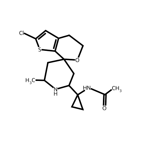 CC(=O)NC1(C2CC3(CC(C)N2)OCCc2cc(Cl)sc23)CC1